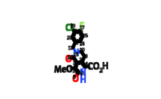 COc1c2c(c(C(=O)O)[nH]c1=O)CCN(Cc1ccc(F)c(Cl)c1)C2=O